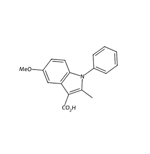 COc1ccc2c(c1)c(C(=O)O)c(C)n2-c1ccccc1